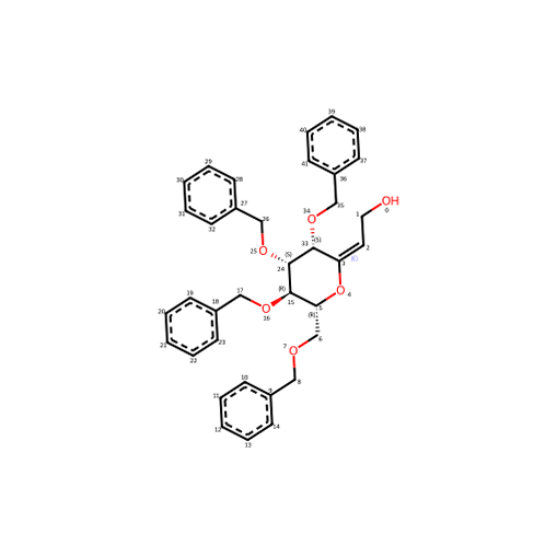 OC/C=C1/O[C@H](COCc2ccccc2)[C@@H](OCc2ccccc2)[C@H](OCc2ccccc2)[C@@H]1OCc1ccccc1